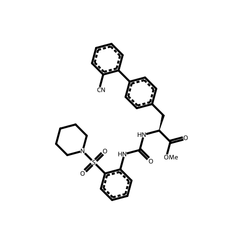 COC(=O)[C@H](Cc1ccc(-c2ccccc2C#N)cc1)NC(=O)Nc1ccccc1S(=O)(=O)N1CCCCC1